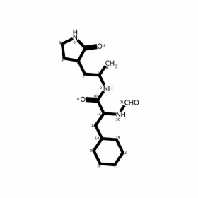 CC(CC1CCNC1=O)NC(=O)C(CC1CCCCC1)NC=O